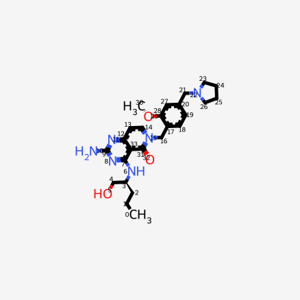 CCC[C@@H](CO)Nc1nc(N)nc2ccn(Cc3ccc(CN4CCCC4)cc3OC)c(=O)c12